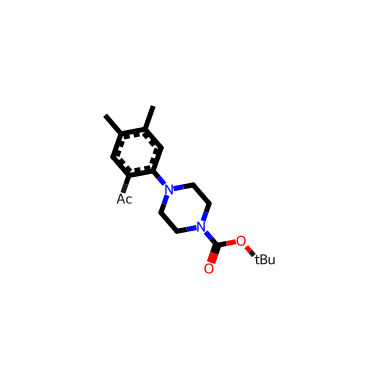 CC(=O)c1cc(C)c(C)cc1N1CCN(C(=O)OC(C)(C)C)CC1